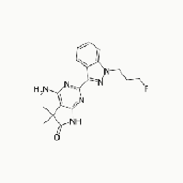 CC1(C)C(=O)Nc2nc(-c3nn(CCCF)c4ccccc34)nc(N)c21